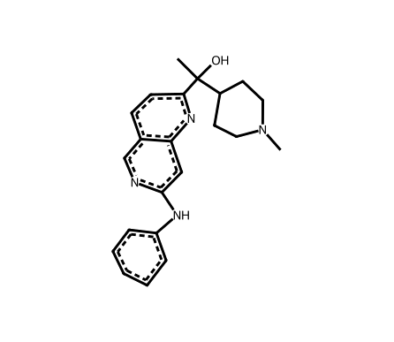 CN1CCC(C(C)(O)c2ccc3cnc(Nc4ccccc4)cc3n2)CC1